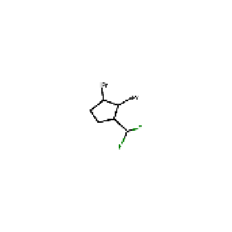 CC(C)C1CCC(C(F)F)C1C(C)C